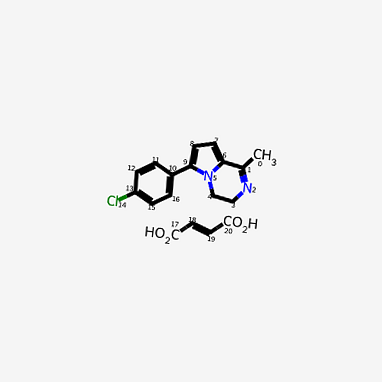 CC1=NCCn2c1ccc2-c1ccc(Cl)cc1.O=C(O)C=CC(=O)O